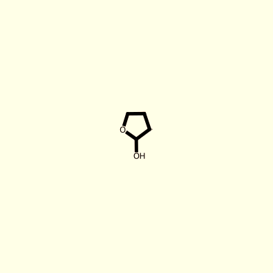 OC1[CH]CCO1